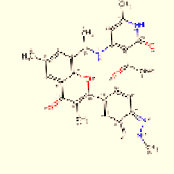 COC(=O)c1c(N[C@H](C)c2cc(C)cc3c(=O)c(C)c(-c4ccc5nn(C)cc5c4)oc23)cc(C)[nH]c1=O